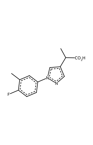 Cc1cc(-n2cc(C(C)C(=O)O)cn2)ccc1F